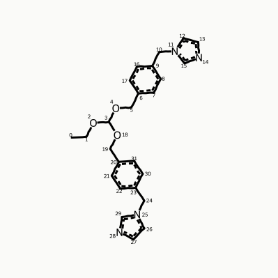 CCOC(OCc1ccc(Cn2ccnc2)cc1)OCc1ccc(Cn2ccnc2)cc1